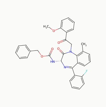 COc1ccccc1C(=O)CN1C(=O)[C@@H](NC(=O)OCc2ccccc2)N=C(c2ccccc2F)c2cccc(C)c21